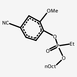 CCCCCCCCOP(=O)(CC)Oc1ccc(C#N)cc1OC